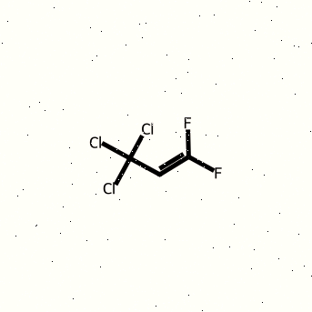 FC(F)=CC(Cl)(Cl)Cl